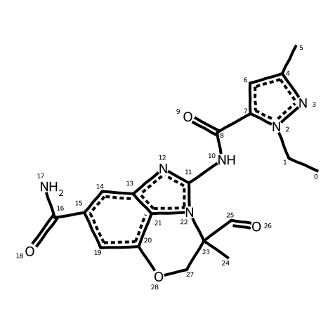 CCn1nc(C)cc1C(=O)Nc1nc2cc(C(N)=O)cc3c2n1C(C)(C=O)CO3